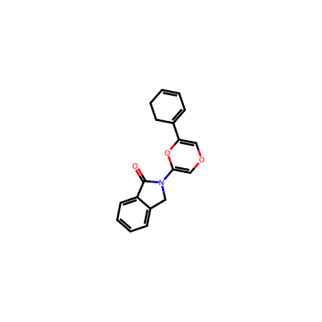 O=C1c2ccccc2CN1C1=COC=C(C2=CC=CCC2)O1